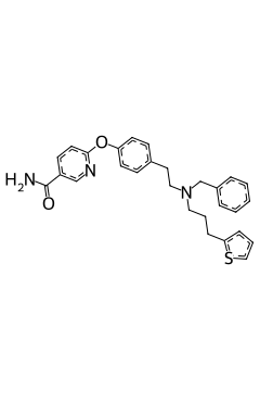 NC(=O)c1ccc(Oc2ccc(CCN(CCCc3cccs3)Cc3ccccc3)cc2)nc1